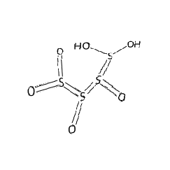 O=S(=O)=S(=O)=S(=O)=S(O)O